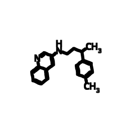 Cc1ccc(C(C)CCNc2cnc3ccccc3c2)cc1